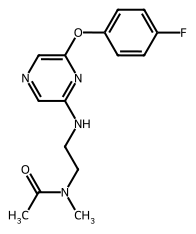 CC(=O)N(C)CCNc1cncc(Oc2ccc(F)cc2)n1